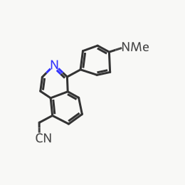 CNc1ccc(-c2nccc3c(CC#N)cccc23)cc1